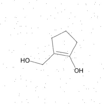 OCC1=C(O)CCC1